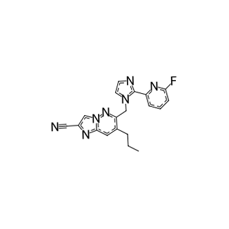 CCCc1cc2nc(C#N)cn2nc1Cn1ccnc1-c1cccc(F)n1